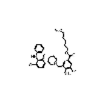 CC(=O)OCCCCCOC(=O)c1cc(Br)c(N)c(CN2CCCCC2)c1.Clc1cccc(Cl)c1Nc1ccccc1